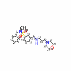 CN(Cc1ccccc1)S(=O)(=O)c1cccc(CNCCCN2CCOCC2)c1